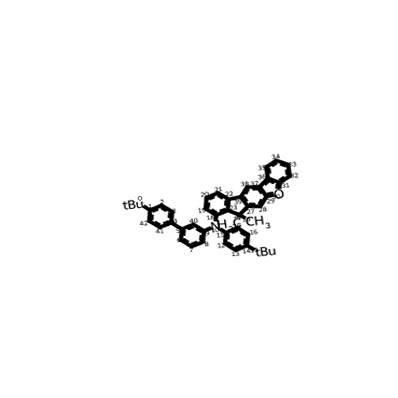 CC(C)(C)c1ccc(-c2cccc(N(c3ccc(C(C)(C)C)cc3)c3cccc4c3C(C)(C)c3cc5oc6ccccc6c5cc3-4)c2)cc1